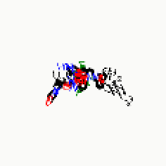 Cc1ccc(CN(Cc2ccc(C)cc2C)c2ccc3c(F)cc(F)c(-c4c(Cl)cc(F)c5nc(OCC6(CN7CCOCC7)CC6)nc(C6CC7CNCC6(C)N7C(=O)O)c45)c3n2)c(C)c1